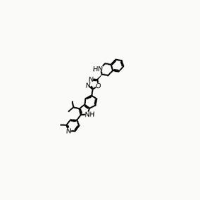 Cc1cc(-c2[nH]c3ccc(-c4nnc([C@@H]5Cc6ccccc6CN5)o4)cc3c2C(C)C)ccn1